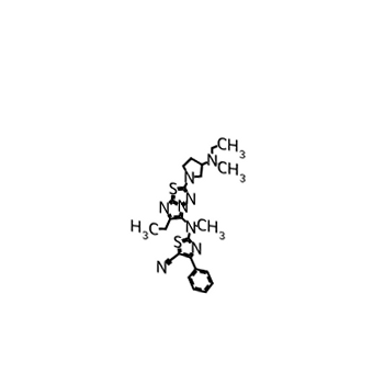 CCc1nc2sc(N3CCC(N(C)CC)C3)nn2c1N(C)c1nc(-c2ccccc2)c(C#N)s1